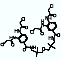 CC(C)(CNC(=O)c1ccc(NC(=O)CCl)c(NC(=O)CCl)c1)COCC(C)(C)CNC(=O)c1ccc(NC(=O)CCl)c(NC(=O)CCl)c1